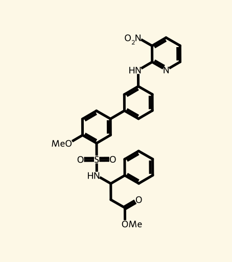 COC(=O)CC(NS(=O)(=O)c1cc(-c2cccc(Nc3ncccc3[N+](=O)[O-])c2)ccc1OC)c1ccccc1